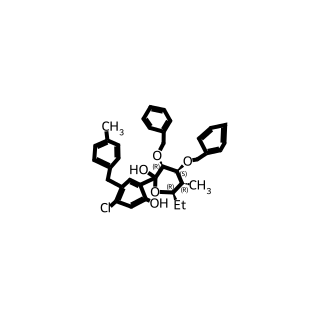 CC[C@H]1OC(O)(c2cc(Cc3ccc(C)cc3)c(Cl)cc2O)[C@H](OCc2ccccc2)[C@@H](OCc2ccccc2)[C@@H]1C